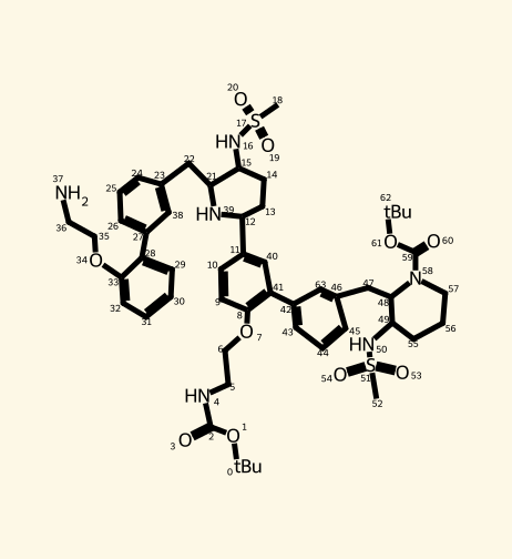 CC(C)(C)OC(=O)NCCOc1ccc(C2CCC(NS(C)(=O)=O)C(Cc3cccc(-c4ccccc4OCCN)c3)N2)cc1-c1cccc(CC2C(NS(C)(=O)=O)CCCN2C(=O)OC(C)(C)C)c1